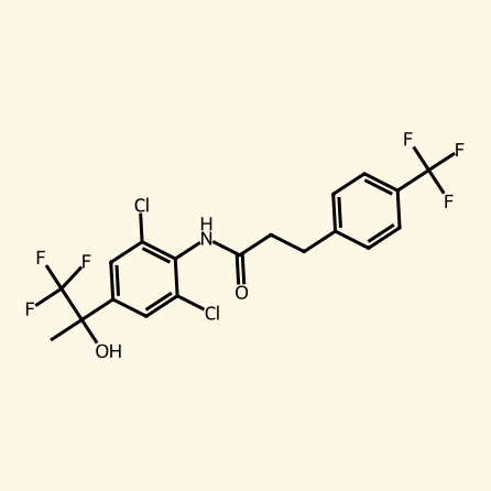 CC(O)(c1cc(Cl)c(NC(=O)CCc2ccc(C(F)(F)F)cc2)c(Cl)c1)C(F)(F)F